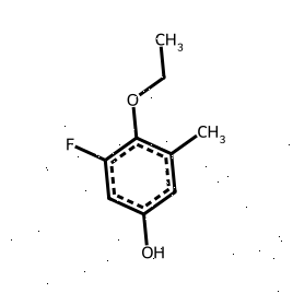 CCOc1c(C)cc(O)cc1F